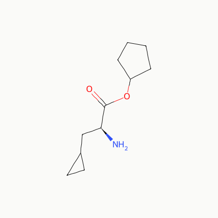 N[C@@H](CC1CC1)C(=O)OC1CCCC1